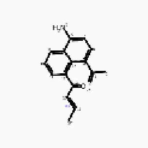 C=C(C)c1ccc(N)c2cccc(C(=O)/C=C/C)c12